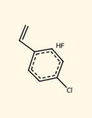 C=Cc1ccc(Cl)cc1.F